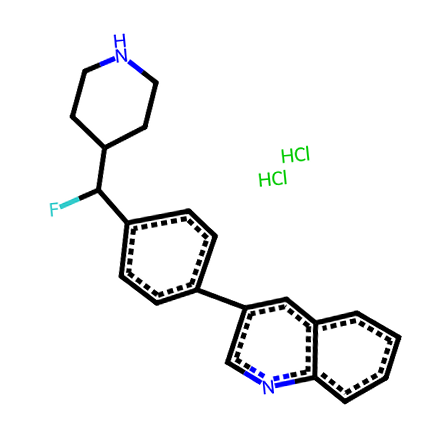 Cl.Cl.FC(c1ccc(-c2cnc3ccccc3c2)cc1)C1CCNCC1